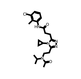 CC(=O)N(CCc1nnc(CCC(=O)Nc2cccc(Cl)c2C)n1C1CC1)C(C)C